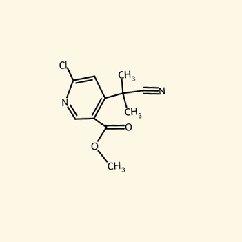 COC(=O)c1cnc(Cl)cc1C(C)(C)C#N